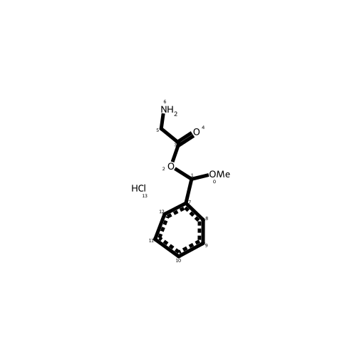 COC(OC(=O)CN)c1ccccc1.Cl